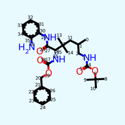 CC(CNC(=O)OC(C)(C)C)CC(C)(C)[C@H](NC(=O)OCc1ccccc1)C(=O)Nc1ccccc1N